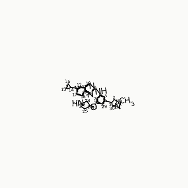 CN1CC(c2cc(Nc3ncc4cc(C5CC5)ccc4n3)cc(O[C@H]3CCNC3)c2)C=N1